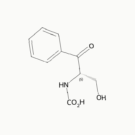 O=C(O)N[C@@H](CO)C(=O)c1ccccc1